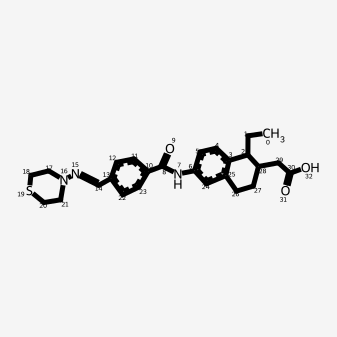 CCC1c2ccc(NC(=O)c3ccc(C=NN4CCSCC4)cc3)cc2CCC1CC(=O)O